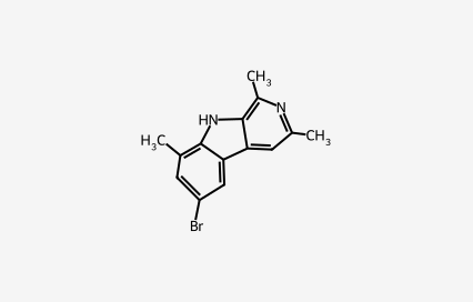 Cc1cc2c([nH]c3c(C)cc(Br)cc32)c(C)n1